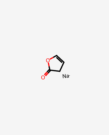 O=C1CC=CO1.[Na]